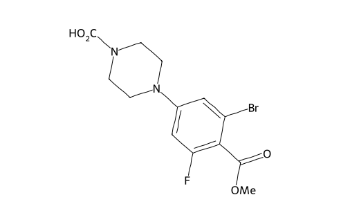 COC(=O)c1c(F)cc(N2CCN(C(=O)O)CC2)cc1Br